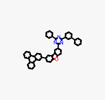 c1ccc(-c2cccc(-c3nc(-c4ccccc4)nc(-c4ccc5oc6ccc(-c7ccc8c9ccccc9c9ccccc9c8c7)cc6c5c4)n3)c2)cc1